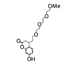 COCCOCCOCCOCCC1CC(=O)Oc2cc(O)ccc21